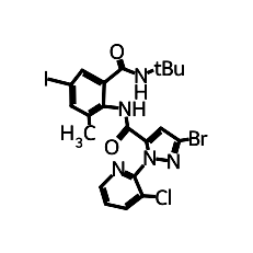 Cc1cc(I)cc(C(=O)NC(C)(C)C)c1NC(=O)c1cc(Br)nn1-c1ncccc1Cl